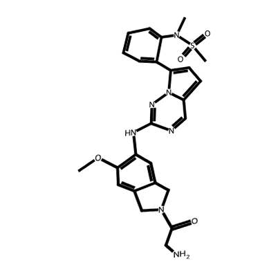 COc1cc2c(cc1Nc1ncc3ccc(-c4ccccc4N(C)S(C)(=O)=O)n3n1)CN(C(=O)CN)C2